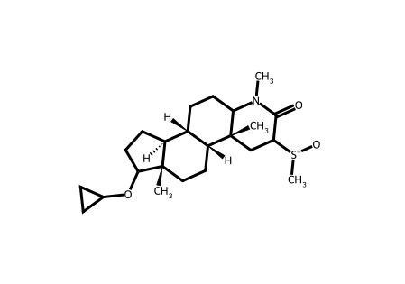 CN1C(=O)C([S+](C)[O-])C[C@@]2(C)C1CC[C@@H]1[C@H]2CC[C@]2(C)C(OC3CC3)CC[C@@H]12